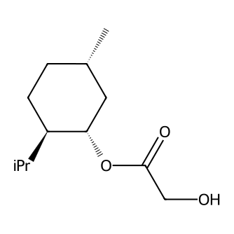 CC(C)[C@H]1CC[C@H](C)C[C@@H]1OC(=O)CO